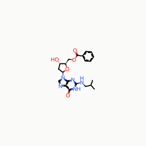 CC(C)CNc1nc2c(ncn2[C@H]2C[C@H](O)[C@@H](COC(=O)c3ccccc3)O2)c(=O)[nH]1